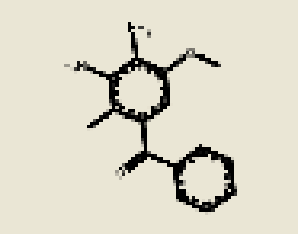 COc1cc(C(=O)c2ccccc2)c(C)c(N)c1N